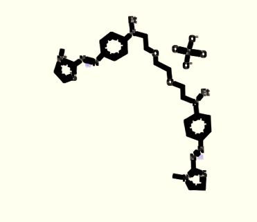 CCN(CCOCCOCCN(CC)c1ccc(/N=N/c2scc[n+]2C)cc1)c1ccc(/N=N/c2scc[n+]2C)cc1.O=S(=O)([O-])[O-]